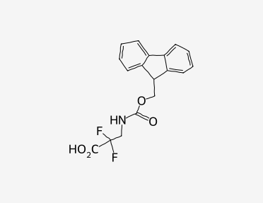 O=C(NCC(F)(F)C(=O)O)OCC1c2ccccc2-c2ccccc21